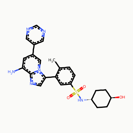 Cc1ccc(S(=O)(=O)N[C@H]2CC[C@H](O)CC2)cc1-c1cnc2c(N)cc(-c3cncnc3)cn12